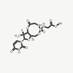 CC(C)OC(=O)CNP1(=O)NCC(=O)OC2[C@@H](CO1)O[C@@H](n1ccc(=O)[nH]c1=O)C2(C)F